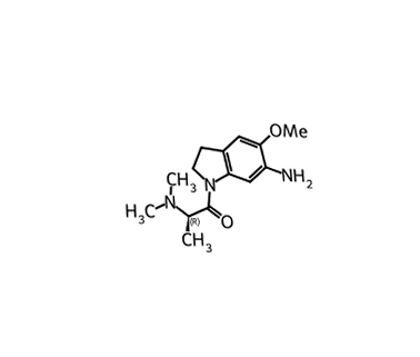 COc1cc2c(cc1N)N(C(=O)[C@@H](C)N(C)C)CC2